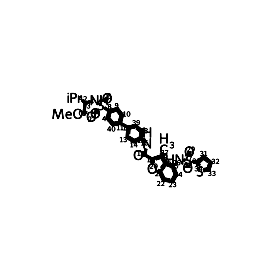 COC(=O)C(NS(=O)(=O)c1ccc(-c2ccc(NC(=O)c3oc4cccc(NS(=O)(=O)c5cccs5)c4c3C)cc2)cc1)C(C)C